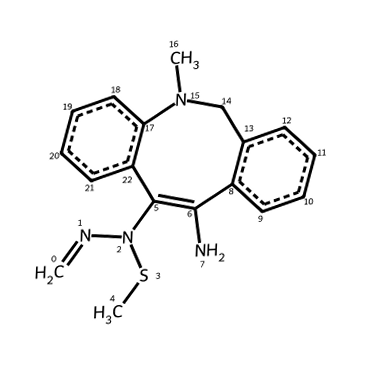 C=NN(SC)/C1=C(\N)c2ccccc2CN(C)c2ccccc21